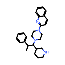 CC(c1ccccc1)C(C1CCCNC1)N1CCN(c2ccc3ccccc3n2)CC1